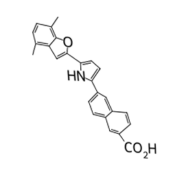 Cc1ccc(C)c2oc(-c3ccc(-c4ccc5cc(C(=O)O)ccc5c4)[nH]3)cc12